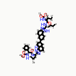 CCCC[C@H](NC(=O)[C@@H](NC(=O)OC)[C@@H](C)CC)c1nc2ccc3cc(-c4ccc5c(ccc6nc([C@@H]7C[C@H](C)CN7C(=O)[C@H](NC(=O)OC)c7ccccc7)[nH]c65)c4)ccc3c2[nH]1